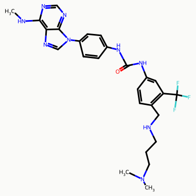 CNc1ncnc2c1ncn2-c1ccc(NC(=O)Nc2ccc(CNCCCN(C)C)c(C(F)(F)F)c2)cc1